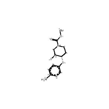 CC(C)(C)OC(=O)N1CC[C@H](Oc2ccc(N)nc2)[C@@H](F)C1